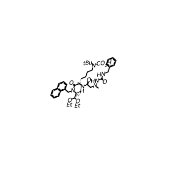 CCOC(OCC)[C@H](C)N(Cc1cccc2ccccc12)C(=O)[C@H](CCCCN(C(=O)O)C(C)(C)C)NC(=O)CN(C)NC(=O)NCc1ccccc1